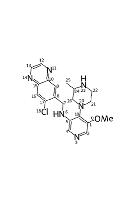 COc1cncc(NCc2cc3nccnc3cc2Cl)c1N1CCNC(C)C1